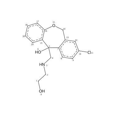 OCCNCC1(O)c2ccc(Cl)cc2COc2ccccc21